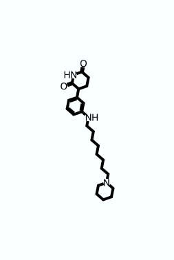 O=C1CCC(c2cccc(NCCCCCCCCN3CCCCC3)c2)C(=O)N1